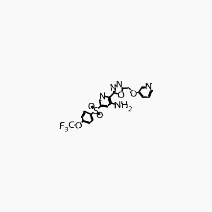 Nc1cc(S(=O)(=O)c2ccc(OC(F)(F)F)cc2)cnc1-c1nnc(COc2cccnc2)o1